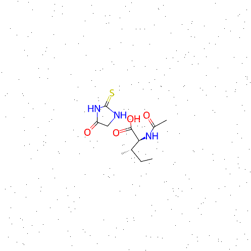 CC[C@H](C)[C@H](NC(C)=O)C(=O)O.O=C1CNC(=S)N1